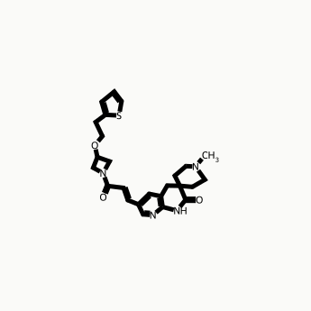 CN1CCC2(CC1)Cc1cc(C=CC(=O)N3CC(OCCc4cccs4)C3)cnc1NC2=O